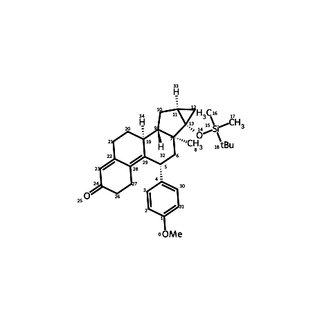 COc1ccc([C@H]2C[C@@]3(C)[C@@H](C[C@H]4C[C@]43O[Si](C)(C)C(C)(C)C)[C@@H]3CCC4=CC(=O)CCC4=C32)cc1